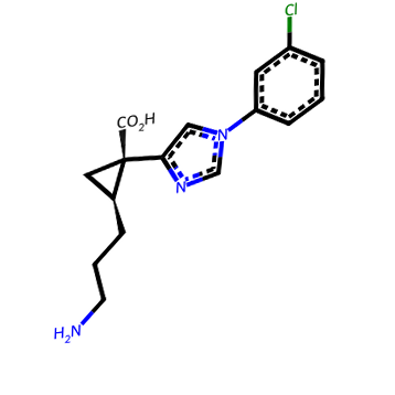 NCCC[C@H]1C[C@]1(C(=O)O)c1cn(-c2cccc(Cl)c2)cn1